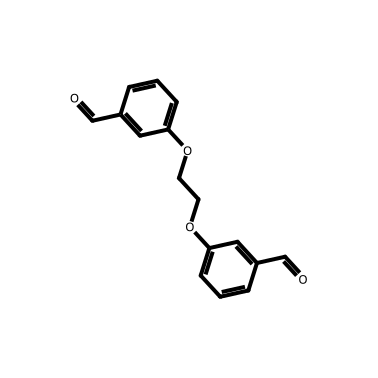 O=Cc1cccc(OCCOc2cccc(C=O)c2)c1